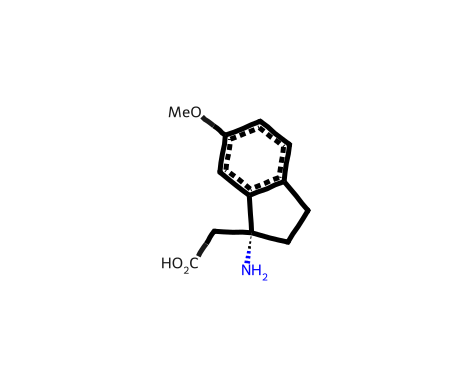 COc1ccc2c(c1)[C@](N)(CC(=O)O)CC2